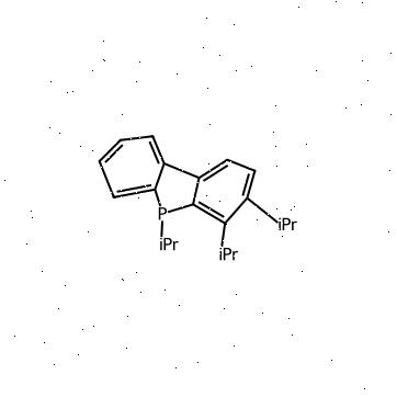 CC(C)c1ccc2c3ccccc3p(C(C)C)c2c1C(C)C